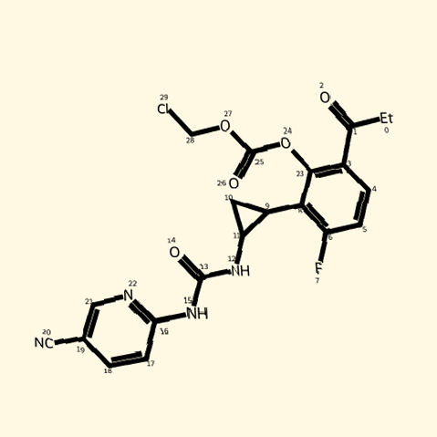 CCC(=O)c1ccc(F)c(C2CC2NC(=O)Nc2ccc(C#N)cn2)c1OC(=O)OCCl